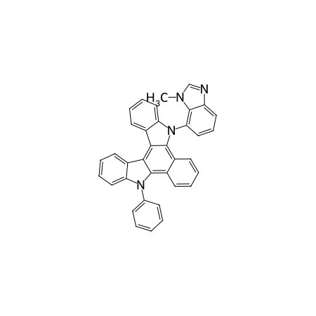 Cn1cnc2cccc(-n3c4ccccc4c4c5c6ccccc6n(-c6ccccc6)c5c5ccccc5c43)c21